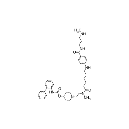 CNCCCNC(=O)c1ccc(NCCCCCC(=O)N(C)CCN2CCC(OC(=O)Nc3ccccc3-c3ccccc3)CC2)cc1